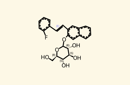 OC[C@H]1OC(Oc2cc3ccccc3cc2/C=C/c2ccccc2F)[C@H](O)[C@@H](O)[C@@H]1O